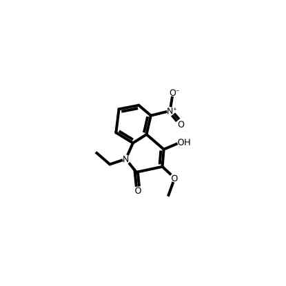 CCn1c(=O)c(OC)c(O)c2c([N+](=O)[O-])cccc21